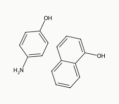 Nc1ccc(O)cc1.Oc1cccc2ccccc12